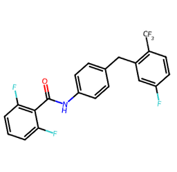 O=C(Nc1ccc(Cc2cc(F)ccc2C(F)(F)F)cc1)c1c(F)cccc1F